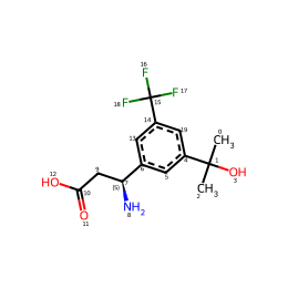 CC(C)(O)c1cc([C@@H](N)CC(=O)O)cc(C(F)(F)F)c1